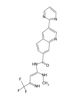 CN/C(=C\C(=N)C(F)(F)F)NC(=O)c1ccc2cc(-c3ncccn3)cnc2c1